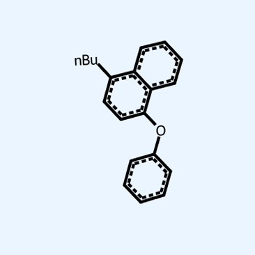 [CH2]CCCc1ccc(Oc2ccccc2)c2ccccc12